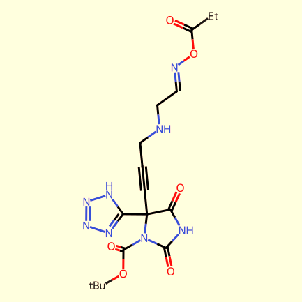 CCC(=O)ON=CCNCC#CC1(c2nnn[nH]2)C(=O)NC(=O)N1C(=O)OC(C)(C)C